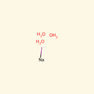 O.O.O.[Na][I]